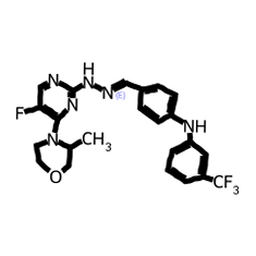 CC1COCCN1c1nc(N/N=C/c2ccc(Nc3cccc(C(F)(F)F)c3)cc2)ncc1F